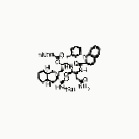 CCCCCCCCCC(=O)O[C@H](CN1C[C@H]2CCCC[C@H]2C[C@H]1C(=O)NC(C)(C)C)[C@H](Cc1ccccc1)NC(=O)[C@H](CC(N)=O)NC(=O)c1ccc2ccccc2n1